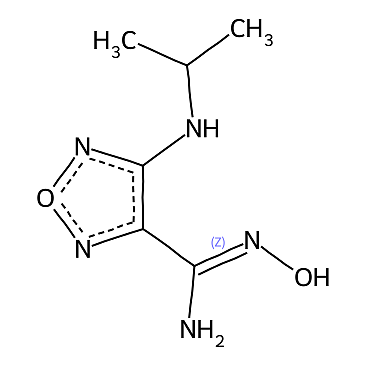 CC(C)Nc1nonc1/C(N)=N/O